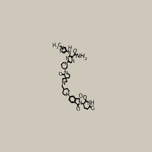 Cn1cc(Nc2nc(N3CCC[C@@H](N4CCC5(CN(CC6CCN(c7ccc8c(c7)C(=O)N(C7CCC(=O)NC7=O)C8=O)CC6)C5)C4=O)C3)cnc2C(N)=O)cn1